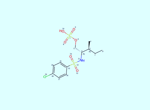 CC[C@H](C)[C@@H](COS(=O)(=O)O)NS(=O)(=O)c1ccc(Cl)cc1